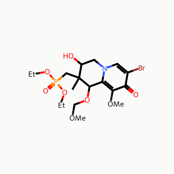 CCOP(=O)(CC1(C)C(O)Cn2cc(Br)c(=O)c(OC)c2C1OCOC)OCC